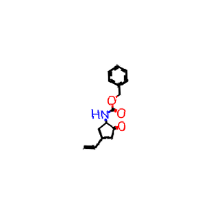 C=CC1CC(=O)C(NC(=O)OCc2ccccc2)C1